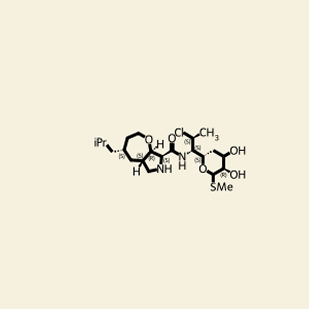 CSC1O[C@H]([C@H](NC(=O)[C@H]2NC[C@@H]3C[C@H](CC(C)C)CCO[C@H]32)[C@H](C)Cl)CC(O)[C@H]1O